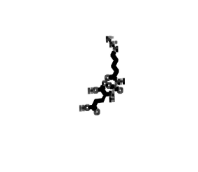 [N-]=[N+]=NCCCCC(=O)NS(=O)(=O)N[C@@H](CCC(=O)O)C(=O)O